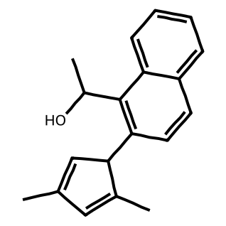 CC1=CC(c2ccc3ccccc3c2C(C)O)C(C)=C1